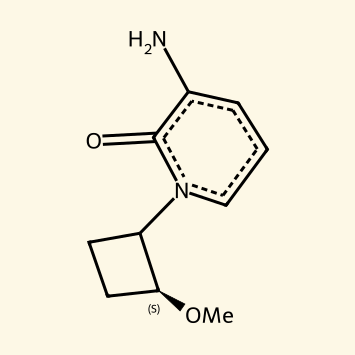 CO[C@H]1CCC1n1cccc(N)c1=O